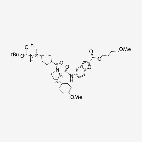 COCCCCOC(=O)c1cc2cc(NC(=O)[C@@H]3[C@H](C4CCC(OC)CC4)CCN3C(=O)C3CCC([C@@H](CF)NC(=O)OC(C)(C)C)CC3)ccc2o1